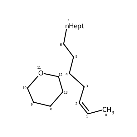 C/C=C\CCCCCCCCCCC.C1CCOCC1